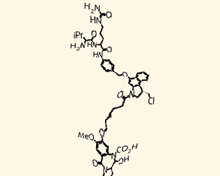 COc1cc2c(cc1OCCCCCC(=O)N1C[C@@H](CCl)c3c1cc(OCc1ccc(NC(=O)C(CCCNC(N)=O)NC(=O)C(N)C(C)C)cc1)c1ccccc31)N(C(=O)O)C(O)C1CCCN1C2=O